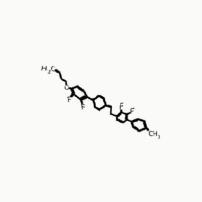 C=CCCOc1ccc(C2CCC(CCc3ccc(-c4ccc(C)cc4)c(F)c3F)CC2)c(F)c1F